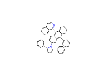 c1ccc(-c2c3ccccc3c(-c3nccc4ccccc34)c3ccc(-n4c(-c5ccccc5)ccc4-c4ccccc4)cc23)cc1